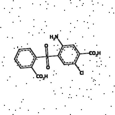 Nc1cc(C(=O)O)c(Cl)cc1S(=O)(=O)c1ccccc1C(=O)O